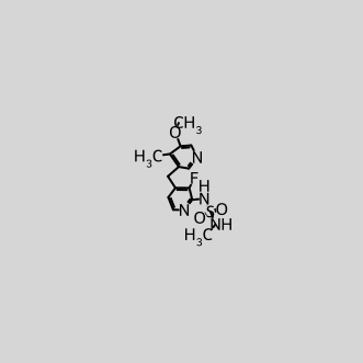 CNS(=O)(=O)Nc1nccc(Cc2cncc(OC)c2C)c1F